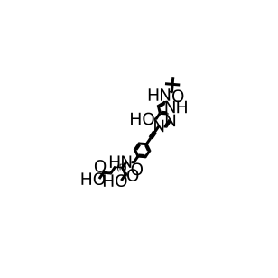 CC(C)(C)C(=O)Nc1cc2c([nH]1)N=CN(C#Cc1ccc(C(=O)N[C@H](CCC(=O)O)C(=O)O)cc1)C2O